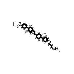 C=CCCOc1ccc(C2CCC(CCc3ccc(-c4ccc(C)cc4)c(F)c3F)CC2)c(F)c1